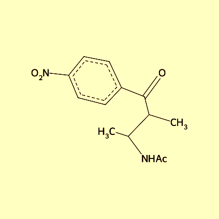 CC(=O)NC(C)C(C)C(=O)c1ccc([N+](=O)[O-])cc1